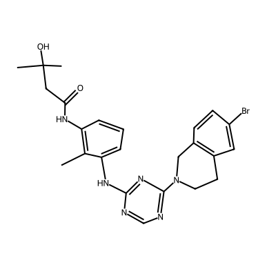 Cc1c(NC(=O)CC(C)(C)O)cccc1Nc1ncnc(N2CCc3cc(Br)ccc3C2)n1